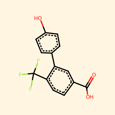 O=C(O)c1ccc(C(F)(F)F)c(-c2ccc(O)cc2)c1